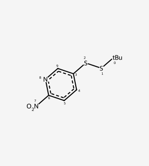 CC(C)(C)SSc1ccc([N+](=O)[O-])nc1